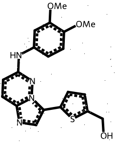 COc1ccc(Nc2ccc3ncc(-c4ccc(CO)s4)n3n2)cc1OC